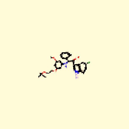 COc1cc(NC(C(=O)c2c[nH]c3ccc(F)cc23)c2ccccc2)cc(OCCOC(C)(C)C)c1